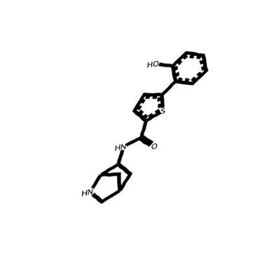 O=C(NC1CC2CNC1C2)c1ccc(-c2ccccc2O)s1